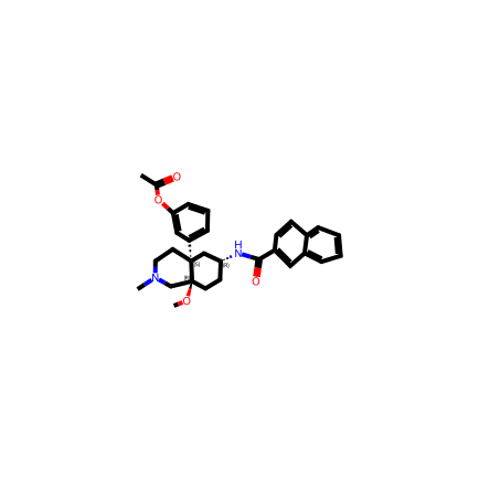 CO[C@]12CC[C@@H](NC(=O)c3ccc4ccccc4c3)C[C@]1(c1cccc(OC(C)=O)c1)CCN(C)C2